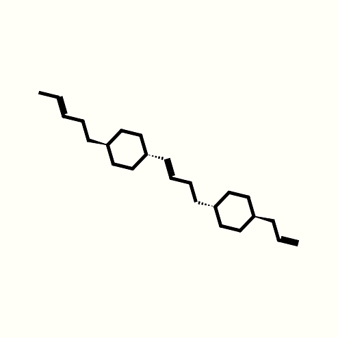 C=CC[C@H]1CC[C@H](CC/C=C/[C@H]2CC[C@H](CC/C=C/C)CC2)CC1